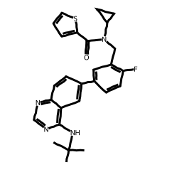 CC(C)(C)Nc1ncnc2ccc(-c3ccc(F)c(CN(C(=O)c4cccs4)C4CC4)c3)cc12